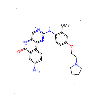 COc1cc(OCCN2CCCC2)ccc1Nc1ncc2[nH]c(=O)c3cc(N)ccc3c2n1